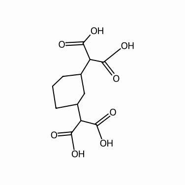 O=C(O)C(C(=O)O)C1CCCC(C(C(=O)O)C(=O)O)C1